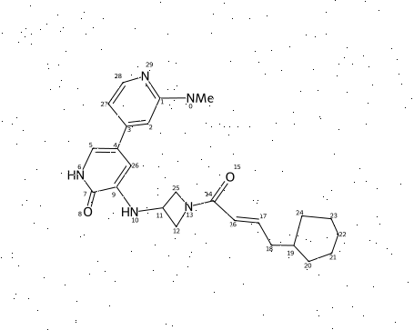 CNc1cc(-c2c[nH]c(=O)c(NC3CN(C(=O)/C=C/CC4CCCCC4)C3)c2)ccn1